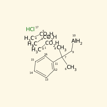 CC(=O)O.CC(=O)O.CC(=O)O.CC(C)([CH2][AlH2])c1ccccc1.Cl